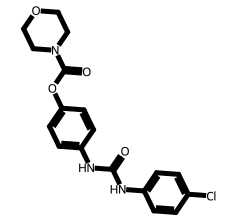 O=C(Nc1ccc(Cl)cc1)Nc1ccc(OC(=O)N2CCOCC2)cc1